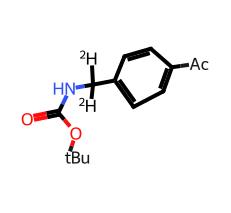 [2H]C([2H])(NC(=O)OC(C)(C)C)c1ccc(C(C)=O)cc1